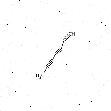 C#CC#CC#CC